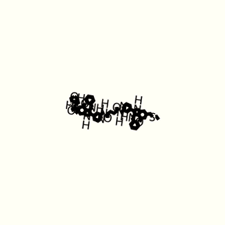 CCSCC1CC(=O)c2c([nH]c(-c3ccnc(NC(=O)CCC(=O)Nc4cc(-c5[nH]c6c(c5Nc5ccccc5)C(=O)CC(C)(C(=O)N5C[C@H]7C[C@@H]5CO7)C6)ccn4)c3)c2Nc2ccccc2)C1